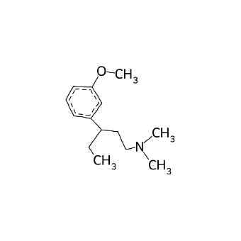 CCC(CCN(C)C)c1cccc(OC)c1